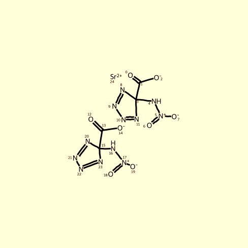 O=C([O-])C1(N[N+](=O)[O-])N=NN=N1.O=C([O-])C1(N[N+](=O)[O-])N=NN=N1.[Sr+2]